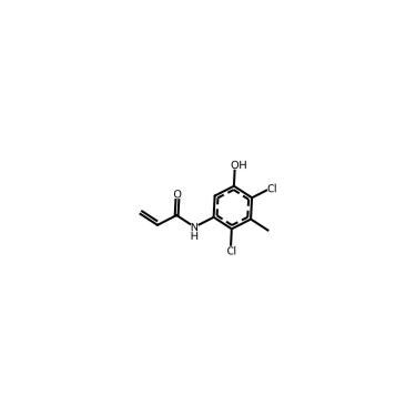 C=CC(=O)Nc1cc(O)c(Cl)c(C)c1Cl